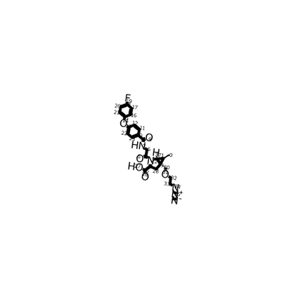 C[C@@H]1[C@@H]2N(C(=O)CNC(=O)c3ccc(Oc4ccc(F)cc4)cc3)C(C(=O)O)C[C@]12COCCN=[N+]=[N-]